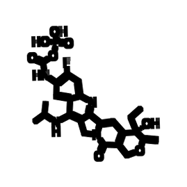 C=C1OCc2c(cc3n(c2=O)Cc2c-3nc3cc(F)c(NC(=O)OP(=O)(O)O)cc3c2NC(C)C)[C@@]1(O)CC